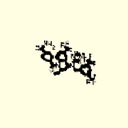 CCC1CC(N(Cc2cc(C(F)(F)F)cc(C(F)(F)F)c2)c2nnn(C)n2)c2cc(C(F)(F)F)ccc2N1C(=O)C1CCC(C(N)=O)CC1